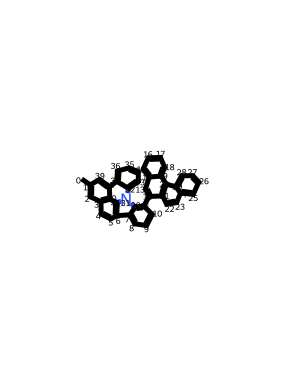 Cc1cc2ccc3c4cccc(-c5cc6ccccc6c6c5ccc5ccccc56)c4n4c5ccccc5c(c1)c2c34